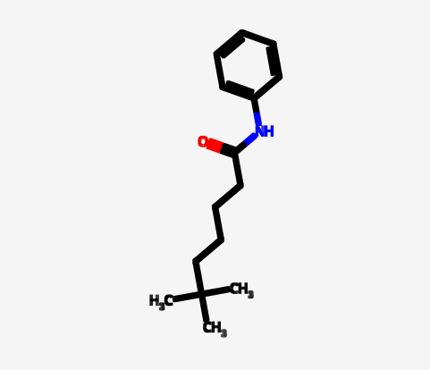 CC(C)(C)CCCCC(=O)Nc1ccccc1